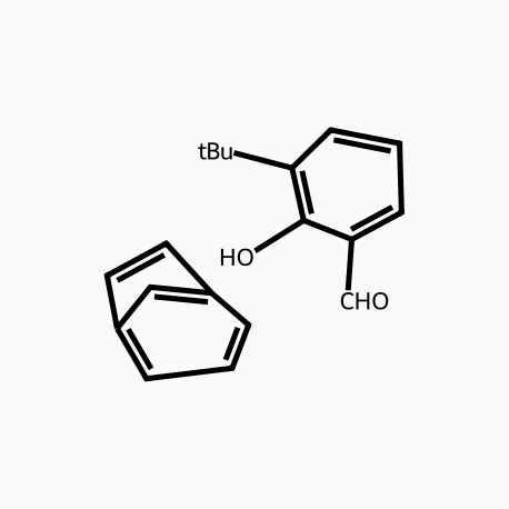 C1=Cc2cccc1c2.CC(C)(C)c1cccc(C=O)c1O